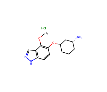 CCCOc1c(O[C@H]2CCC[C@@H](N)C2)ccc2[nH]ncc12.Cl